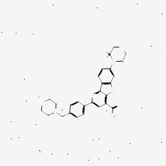 NC(=O)c1cc(-c2ccc(CN3CCOCC3)cc2)nc2c1[nH]c1cc(N3CCSCC3(O)O)ccc12